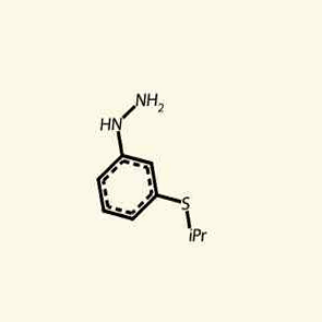 CC(C)Sc1cccc(NN)c1